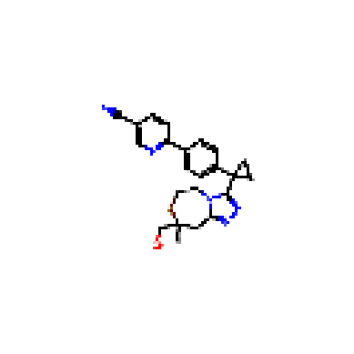 CC1(CO)Cc2nnc(C3(c4ccc(-c5ccc(C#N)cn5)cc4)CC3)n2CCS1